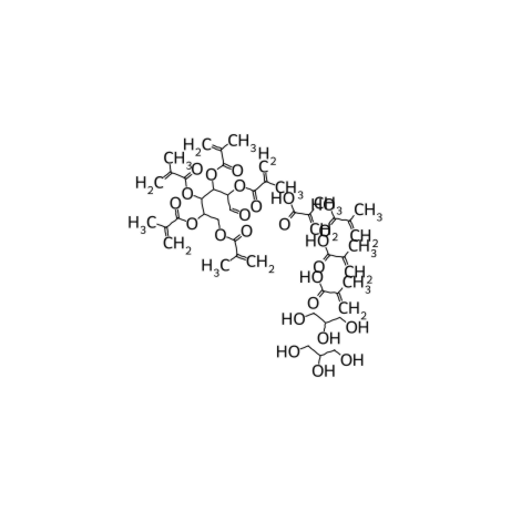 C=C(C)C(=O)O.C=C(C)C(=O)O.C=C(C)C(=O)O.C=C(C)C(=O)O.C=C(C)C(=O)OCC(OC(=O)C(=C)C)C(OC(=O)C(=C)C)C(OC(=O)C(=C)C)C(C=O)OC(=O)C(=C)C.OCC(O)CO.OCC(O)CO